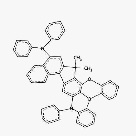 CC1(C)c2cc(N(c3ccccc3)c3ccccc3)c3ccccc3c2-c2cc3c4c(c21)Oc1ccccc1B4c1ccccc1N3c1ccccc1